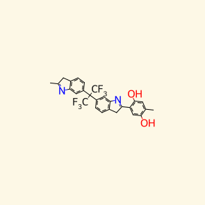 CC1=Nc2cc(C(c3ccc4c(c3)N=C(c3cc(O)c(C)cc3O)C4)(C(F)(F)F)C(F)(F)F)ccc2C1